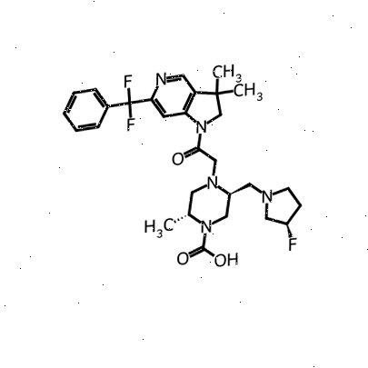 C[C@@H]1CN(CC(=O)N2CC(C)(C)c3cnc(C(F)(F)c4ccccc4)cc32)[C@@H](CN2CC[C@@H](F)C2)CN1C(=O)O